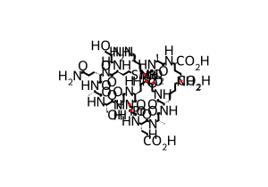 CSCC[C@H](NC(=O)[C@@H](N)CO)C(=O)N[C@@H](CCC(N)=O)C(=O)N[C@@H](C)C(=O)N[C@@H](CO)C(=O)N[C@@H](CC(C)C)C(=O)N[C@@H](CCC(N)=O)C(=O)N[C@@H](C)C(=O)N[C@@H](CCC(=O)O)C(=O)N[C@@H](C)C(=O)N[C@@H](CCCCN)C(=O)NCC(=O)N[C@@H](CCCCN)C(=O)N[C@@H](C)C(=O)N[C@@H](CCC(=O)O)C(=O)O